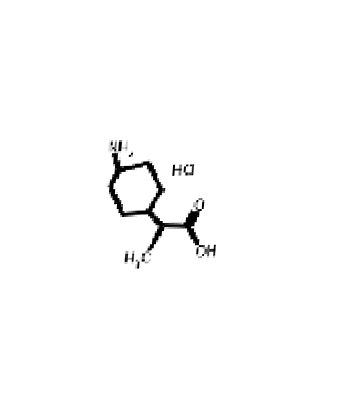 CC(C(=O)O)C1CCC(N)CC1.Cl